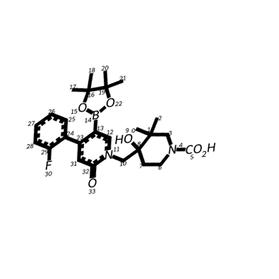 CC1(C)CN(C(=O)O)CCC1(O)Cn1cc(B2OC(C)(C)C(C)(C)O2)c(-c2ccccc2F)cc1=O